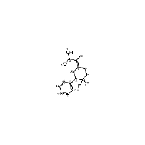 CC(C(=O)O)=C1CCC(F)(F)C(c2ccncc2)C1